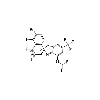 Fc1c(Br)ccc2c1[C@@H](F)[C@H](F)C[C@]21CN2C=C(C(F)(F)F)C=C(OC(F)F)C2=N1